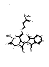 COC(=O)CCSC=C(C)C1C(N2C(=O)c3ccccc3C2=O)C(=O)N1CC(=O)OC(C)(C)C